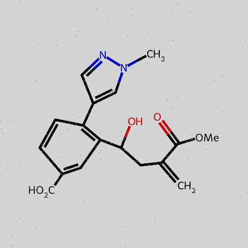 C=C(CC(O)c1cc(C(=O)O)ccc1-c1cnn(C)c1)C(=O)OC